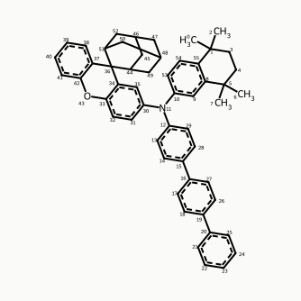 CC1(C)CCC(C)(C)c2cc(N(c3ccc(-c4ccc(-c5ccccc5)cc4)cc3)c3ccc4c(c3)C3(c5ccccc5O4)C4CC5CC(C4)CC3C5)ccc21